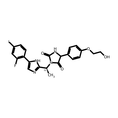 C[C@@H](c1ncc(-c2ccc(I)cc2F)[nH]1)N1C(=O)NC(c2ccc(OCCO)cc2)C1=O